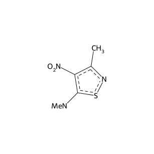 CNc1snc(C)c1[N+](=O)[O-]